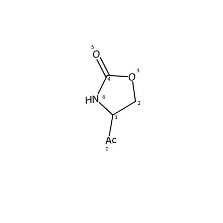 CC(=O)C1COC(=O)N1